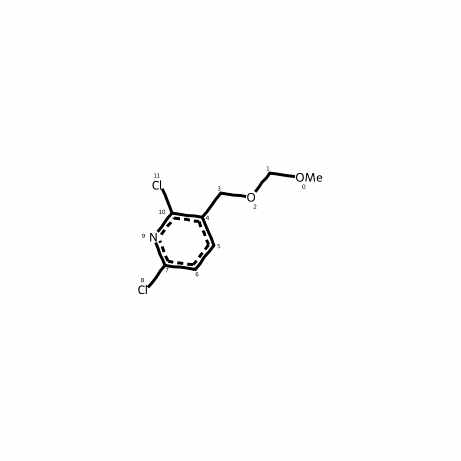 COCOCc1ccc(Cl)nc1Cl